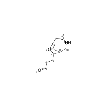 O=CCCC1OC2CONCC1C2